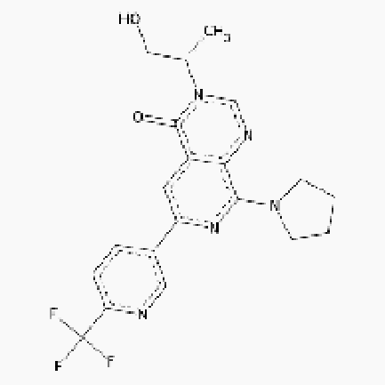 C[C@@H](CO)n1cnc2c(N3CCCC3)nc(-c3ccc(C(F)(F)F)nc3)cc2c1=O